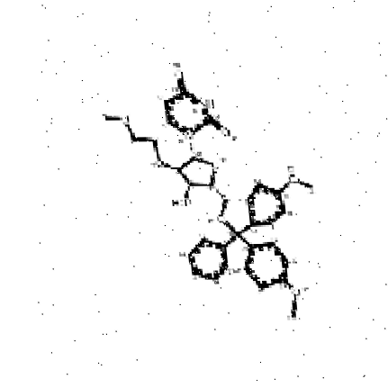 COCCO[C@@H]1[C@H](O)[C@@H](COC(c2ccccc2)(c2ccc(OC)cc2)c2ccc(OC)cc2)O[C@H]1n1ccc(=O)[nH]c1=O